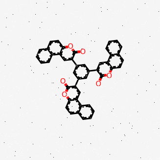 O=c1oc2ccc3ccccc3c2cc1-c1cc(-c2cc3c(ccc4ccccc43)oc2=O)cc(-c2cc3c(ccc4ccccc43)oc2=O)c1